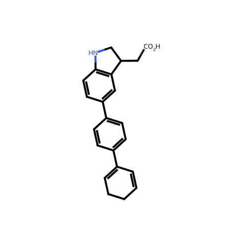 O=C(O)CC1CNc2ccc(-c3ccc(C4=CCCC=C4)cc3)cc21